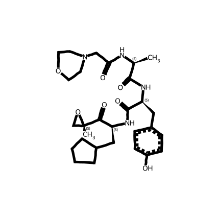 C[C@H](NC(=O)CN1CCOCC1)C(=O)N[C@@H](Cc1ccc(O)cc1)C(=O)N[C@@H](CC1CCCC1)C(=O)[C@]1(C)CO1